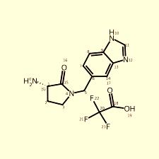 N[C@H]1CCN(Cc2ccc3[nH]cnc3c2)C1=O.O=C(O)C(F)(F)F